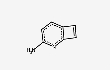 Nc1ccc2c(n1)C=C2